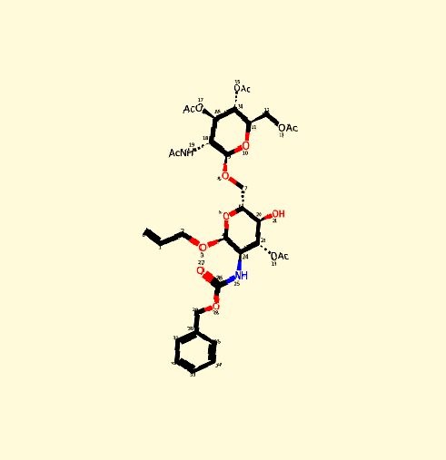 C=CCO[C@H]1O[C@H](CO[C@@H]2O[C@H](COC(C)=O)[C@@H](OC(C)=O)[C@H](OC(C)=O)[C@H]2NC(C)=O)[C@@H](O)[C@H](OC(C)=O)[C@H]1NC(=O)OCc1ccccc1